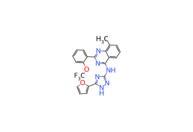 Cc1cccc2c(Nc3n[nH]c(-c4ccco4)n3)nc(-c3ccccc3OC(F)(F)F)nc12